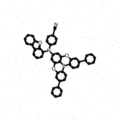 N#Cc1ccc(N(c2cc3c4c(c2)Oc2cc(-c5ccccc5)ccc2B4c2ccc(-c4ccccc4)cc2O3)c2cccc3c2oc2ccccc23)cc1